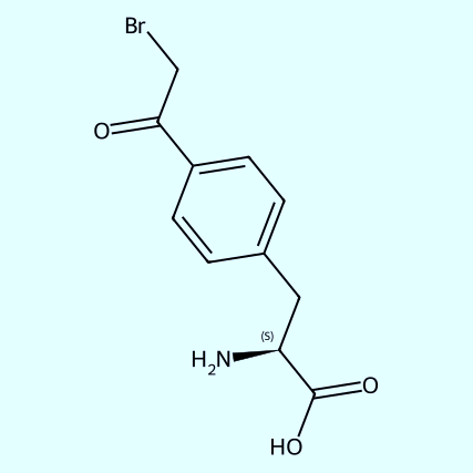 N[C@@H](Cc1ccc(C(=O)CBr)cc1)C(=O)O